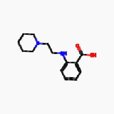 O=C(O)c1c[c]ccc1NCCN1CCCCC1